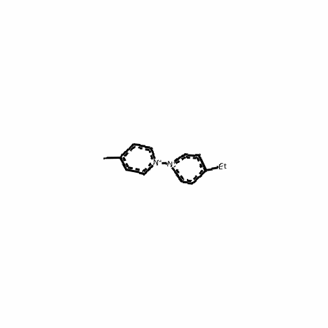 CCc1cc[n+](-[n+]2ccc(C)cc2)cc1